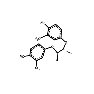 C[C@@H](Oc1ccc(C#N)c(C(F)(F)F)c1)[C@@H](C)Oc1ccc(C#N)c(C(F)(F)F)c1